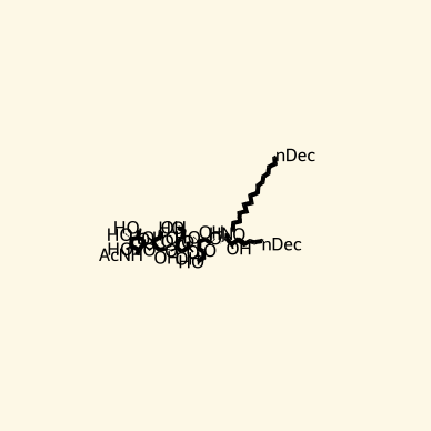 CCCCCCCCCCCCC/C=C/[C@@H](O)[C@H](CO[C@@H]1OC(CO)[C@@H](O[C@@H]2OC(CO)[C@H](O)[C@H](O[C@H]3OC(CO)[C@H](O)[C@H](O[C@@H]4OC(CO)[C@@H](O)[C@H](O)C4NC(C)=O)C3O)C2O)[C@H](O)C1O)NC(=O)CCCCCCCCCCCCCCCCCCCCCCCCC